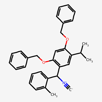 [C-]#[N+]C(c1ccccc1C)c1cc(C(C)C)c(OCc2ccccc2)cc1OCc1ccccc1